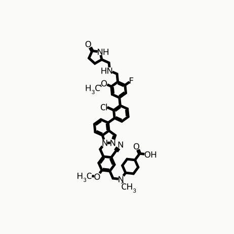 COc1cc(Cn2ncc3c(-c4cccc(-c5cc(F)c(CNCC6CCC(=O)N6)c(OC)c5)c4Cl)cccc32)c(C#N)cc1CN(C)C1CCC(C(=O)O)CC1